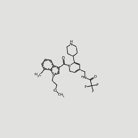 COCCn1cc(C(=O)N2CC=C(CNC(=O)C(F)(F)F)C=C2C2CCNCC2)c2cccc(C)c21